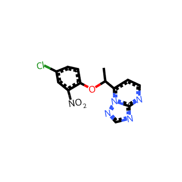 CC(Oc1ccc(Cl)cc1[N+](=O)[O-])c1ccnc2ncnn12